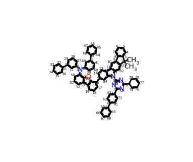 CC1(C)c2ccccc2-c2cc3c4ccc(-c5cccc6c5oc5c(N(c7cccc(-c8ccccc8)c7)c7cccc(-c8ccccc8)c7)cccc56)cc4n(-c4nc(-c5ccc(-c6ccccc6)cc5)nc(C5C=CC=CC5)n4)c3cc21